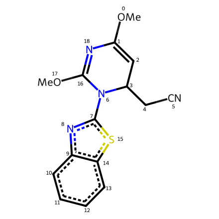 COC1=CC(CC#N)N(c2nc3ccccc3s2)C(OC)=N1